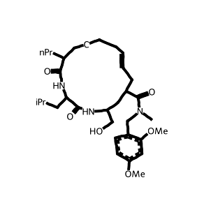 CCCC1CCCC/C=C/CC(C(=O)N(C)Cc2ccc(OC)cc2OC)CC(CO)NC(=O)C(CC(C)C)NC1=O